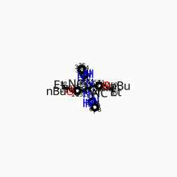 [C-]#[N+]/C(c1cnc2ccccc2n1)=c1/[nH]c(-c2ccc(OCC(CC)CCCC)cc2)c2/c(=C(\C#N)c3cnc4ccccc4n3)[nH]c(-c3ccc(OCC(CC)CCCC)cc3)c12